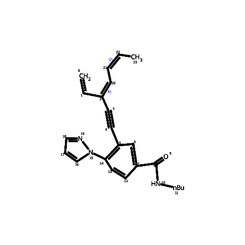 C=C/C(C#Cc1cc(C(=O)NCCCC)ccc1-n1cccn1)=C\C=C/C